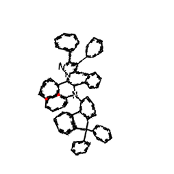 c1ccc(-c2nn3c(-c4ccccc4)c(N(c4ccccc4)c4cccc5c4-c4ccccc4C5(c4ccccc4)c4ccccc4)c4ccccc4c3c2-c2ccccc2)cc1